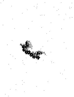 COC(=O)N[C@@H](C(C)C)C(O)N1CC2(CC2)C[C@H]1c1ncc(-c2ccc(-c3ccc4cc(-c5cnc([C@@H]6C[C@H](C#N)CN6C(=O)[C@@H](NC(=O)OC)C(C)C)[nH]5)ccc4c3)cc2)[nH]1